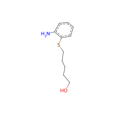 Nc1ccccc1SCCCCCO